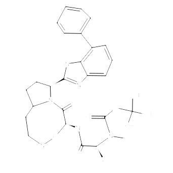 C[C@@H](C(=O)N[C@H]1CNCC[C@H]2CC[C@@H](c3nc4cccc(-c5ccccc5)c4[nH]3)N2C1=O)N(C)C(=O)OC(C)(C)C